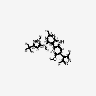 COc1nc2c(cc1-c1c(C)noc1C)[nH]c1nc(C)nc(N(C)c3cc(C(C)(C)C)nn3C)c12